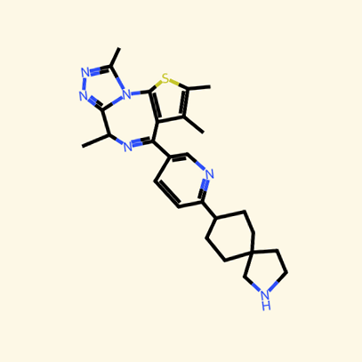 Cc1sc2c(c1C)C(c1ccc(C3CCC4(CCNC4)CC3)nc1)=NC(C)c1nnc(C)n1-2